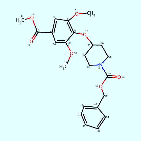 COC(=O)c1cc(OC)c(OC2CCN(C(=O)OCc3ccccc3)CC2)c(OC)c1